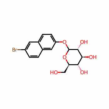 OC[C@H]1OC(Oc2ccc3cc(Br)ccc3c2)[C@H](O)[C@@H](O)[C@@H]1O